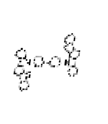 c1ccc2c(c1)sc1c2ccc2c3ccccc3n(-c3ccc(-c4ccc(-n5c6ccccc6c6ccc7c8ccccc8sc7c65)cc4)cc3)c21